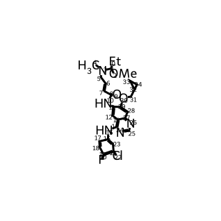 CCC(OC)N(C)CC=CC(=O)Nc1cc2c(Nc3ccc(F)c(Cl)c3)ncnc2cc1OCC1CC1